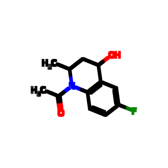 CC(=O)N1c2ccc(F)cc2C(O)CC1C